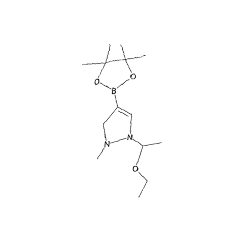 CCOC(C)N1C=C(B2OC(C)(C)C(C)(C)O2)CN1C